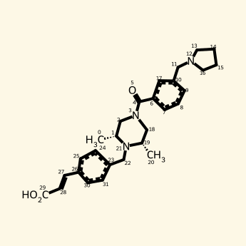 C[C@@H]1CN(C(=O)c2cccc(CN3CCCC3)c2)C[C@H](C)N1Cc1ccc(/C=C/C(=O)O)cc1